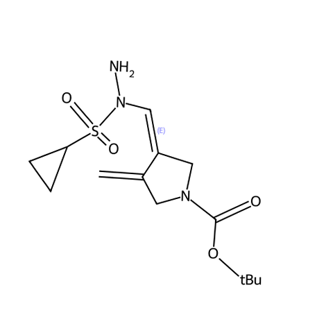 C=C1CN(C(=O)OC(C)(C)C)C/C1=C/N(N)S(=O)(=O)C1CC1